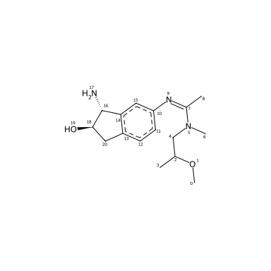 COC(C)CN(C)C(C)=Nc1ccc2c(c1)[C@@H](N)[C@H](O)C2